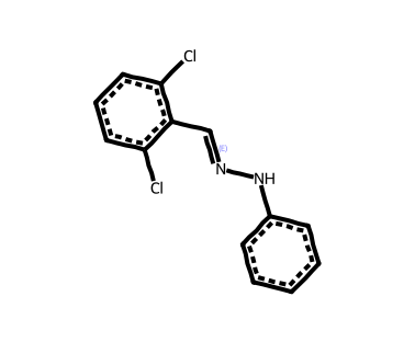 Clc1cccc(Cl)c1/C=N/Nc1ccccc1